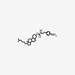 CC(C)CCC[C@@H](C)C1CCC2C3CC=C4CC(OC(=O)NCCc5ccc(N)cc5)CC[C@]4(C)C3CCC21C